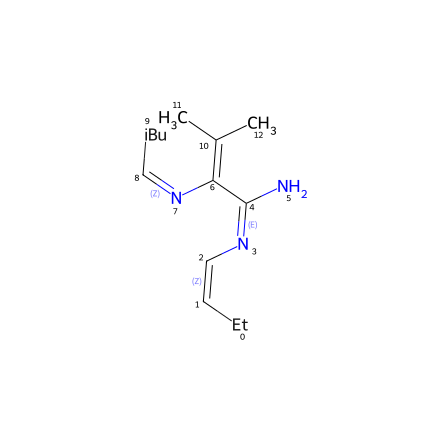 CC/C=C\N=C(\N)C(/N=C\C(C)CC)=C(C)C